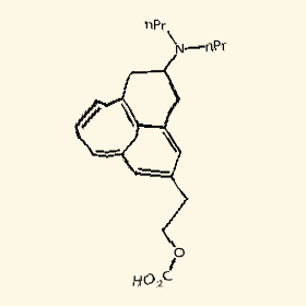 CCCN(CCC)C1Cc2cccc3cc(CCOC(=O)O)cc(c23)C1